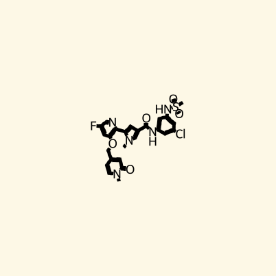 Cn1cc(C(=O)Nc2cc(Cl)cc(NS(C)(=O)=O)c2)cc1-c1ncc(F)cc1OCc1ccn(C)c(=O)c1